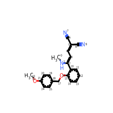 CNC(=CC=C(C#N)C#N)c1ccccc1OCc1ccc(OC)cc1